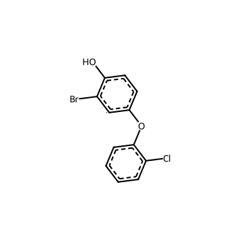 Oc1ccc(Oc2ccccc2Cl)[c]c1Br